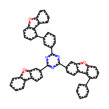 c1ccc(-c2cccc3oc4cc(-c5nc(-c6cccc(-c7cccc8oc9ccccc9c78)c6)nc(-c6ccc7c(c6)oc6ccccc67)n5)ccc4c23)cc1